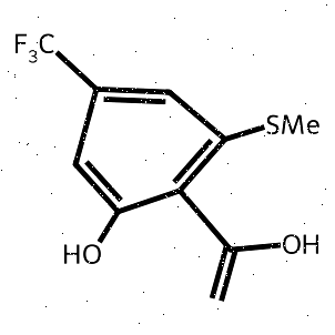 C=C(O)c1c(O)cc(C(F)(F)F)cc1SC